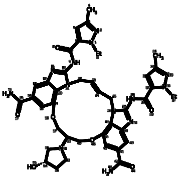 CCn1nc(C)cc1C(=O)Nc1nc2cc(C(N)=O)cc3c2n1C/C=C/Cn1c(NC(=O)c2cc(C)nn2CC)nc2cc(C(N)=O)cc(c21)OCC(N1CC[C@H](O)C1)CO3